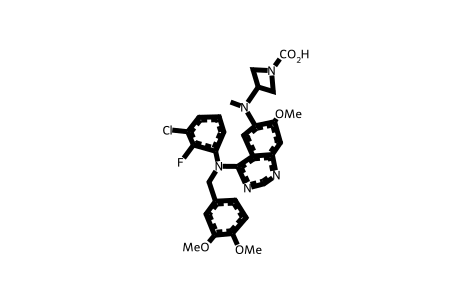 COc1ccc(CN(c2cccc(Cl)c2F)c2ncnc3cc(OC)c(N(C)C4CN(C(=O)O)C4)cc23)cc1OC